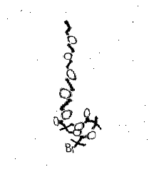 C=CCOCCOCCOCCOCCOC(=O)C(C)(COC(=O)C(C)(C)C)COC(=O)C(C)(C)Br